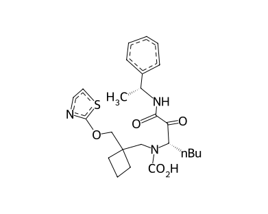 CCCC[C@@H](C(=O)C(=O)N[C@H](C)c1ccccc1)N(CC1(COc2nccs2)CCC1)C(=O)O